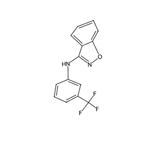 FC(F)(F)c1cccc(Nc2noc3ccccc23)c1